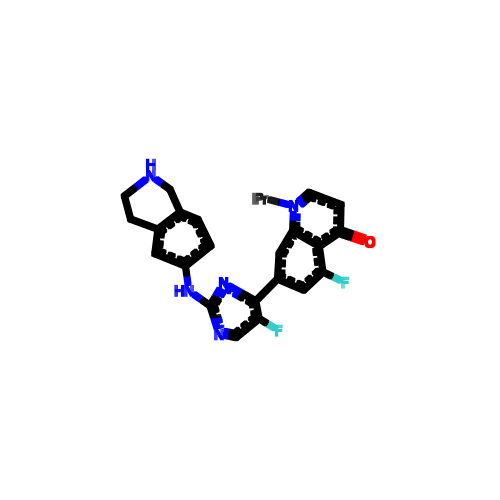 CC(C)n1ccc(=O)c2c(F)cc(-c3nc(Nc4ccc5c(c4)CCNC5)ncc3F)cc21